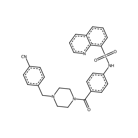 [C-]#[N+]c1ccc(CN2CCN(C(=O)c3ccc(NS(=O)(=O)c4cccc5cccnc45)cc3)CC2)cc1